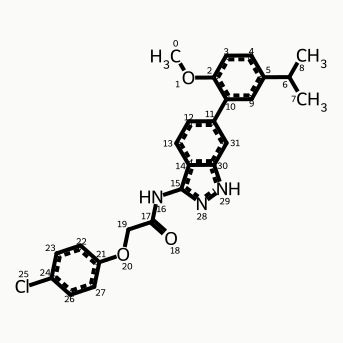 COc1ccc(C(C)C)cc1-c1ccc2c(NC(=O)COc3ccc(Cl)cc3)n[nH]c2c1